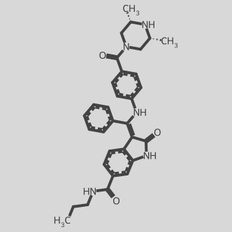 CCCNC(=O)c1ccc2c(c1)NC(=O)/C2=C(\Nc1ccc(C(=O)N2C[C@@H](C)N[C@@H](C)C2)cc1)c1ccccc1